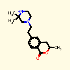 CC1Cc2cc(CCN3CCNC(C)(C)C3)ccc2C(=O)O1